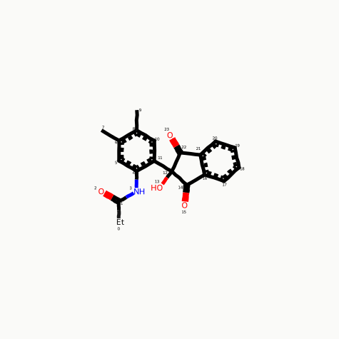 CCC(=O)Nc1cc(C)c(C)cc1C1(O)C(=O)c2ccccc2C1=O